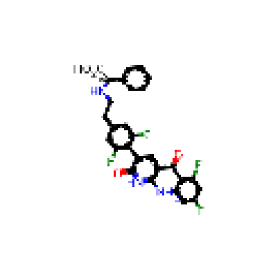 Nc1[nH]c(=O)c(-c2c(F)cc(CCN[C@@H](C(=O)O)c3ccccc3)cc2F)cc1C(=O)c1ccc(F)cc1F